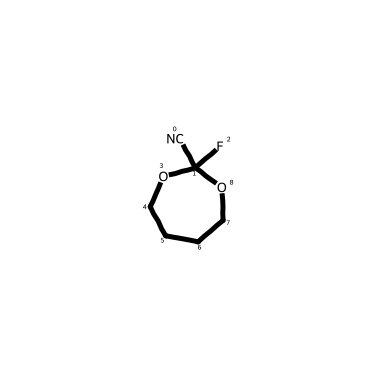 N#CC1(F)OCCCCO1